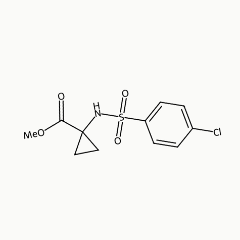 COC(=O)C1(NS(=O)(=O)c2ccc(Cl)cc2)CC1